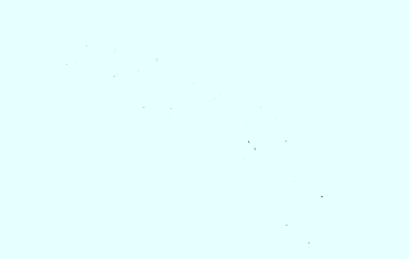 O=C(O)CCc1ccc(SCc2coc(C=Cc3ccccc3)n2)cc1